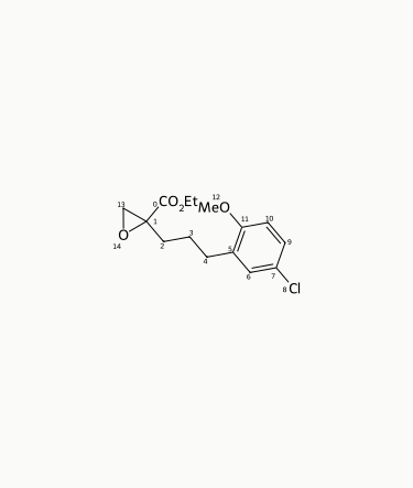 CCOC(=O)C1(CCCc2cc(Cl)ccc2OC)CO1